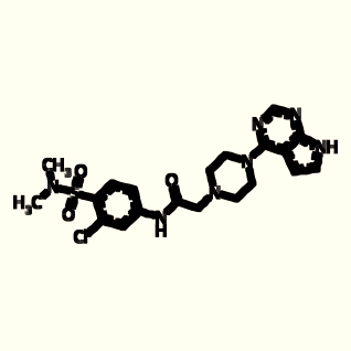 CN(C)S(=O)(=O)c1ccc(NC(=O)CN2CCN(c3ncnc4[nH]ccc34)CC2)cc1Cl